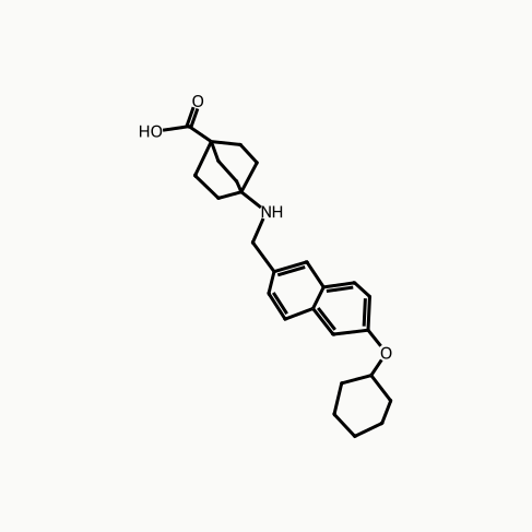 O=C(O)C12CCC(NCc3ccc4cc(OC5CCCCC5)ccc4c3)(CC1)CC2